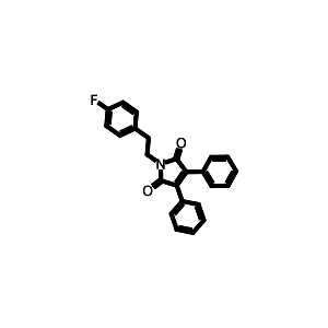 O=C1C(c2ccccc2)=C(c2ccccc2)C(=O)N1CCc1ccc(F)cc1